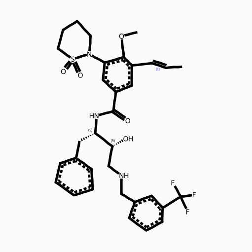 C/C=C/c1cc(C(=O)N[C@@H](Cc2ccccc2)[C@H](O)CNCc2cccc(C(F)(F)F)c2)cc(N2CCCCS2(=O)=O)c1OC